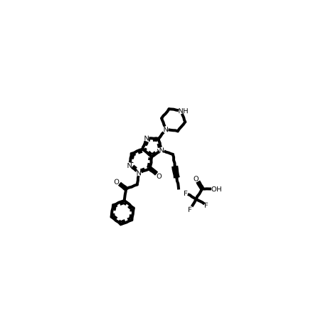 CC#CCn1c(N2CCNCC2)nc2cnn(CC(=O)c3ccccc3)c(=O)c21.O=C(O)C(F)(F)F